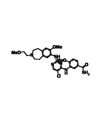 COCCN1CCc2cc(Nc3ncc(Cl)c(Nc4cc(C(N)=O)ccc4OC)n3)c(OC)cc2CC1